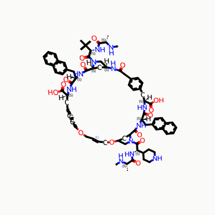 CN[C@@H](C)C(=O)N[C@H](C(=O)N1CC2CC1C(=O)N[C@@H](Cc1ccc3ccccc3c1)C(=O)N[C@H](C(=O)O)Cc1ccc(cc1)C(=O)N[C@H]1C[C@@H](C(=O)N[C@@H](Cc3ccc4ccccc4c3)C(=O)N[C@H](C(=O)O)Cc3ccc(cc3)OC/C=C/CO2)N(C(=O)[C@@H](NC(=O)[C@H](C)NC)C(C)(C)C)C1)C1CCNCC1